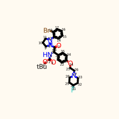 CC(C)(C)OC(=O)N[C@H](C(=O)N1CCCN1c1ccccc1Br)c1ccc(OCCN2CCC(F)CC2)cc1